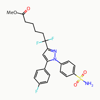 COC(=O)CCCCC(F)(F)c1cc(-c2ccc(F)cc2)n(-c2ccc(S(N)(=O)=O)cc2)n1